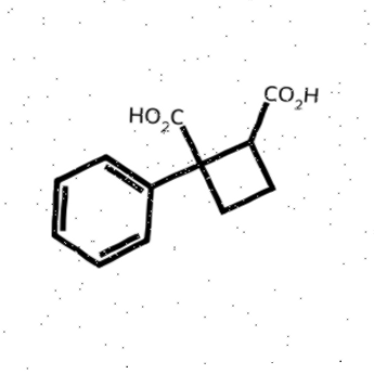 O=C(O)C1CCC1(C(=O)O)c1ccccc1